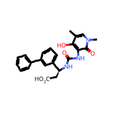 Cc1cn(C)c(=O)c(NC(=O)N[C@@H](CC(=O)O)c2cccc(-c3ccccc3)c2)c1O